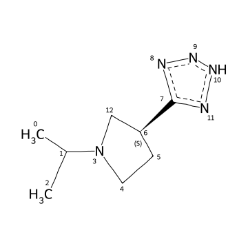 CC(C)N1CC[C@H](c2nn[nH]n2)C1